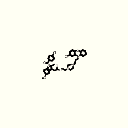 COc1ccc2c(c1)c(CC(=O)OCCN1CCN(CCCN3c4ccccc4Sc4ccc(Cl)cc43)CC1)c(C)n2C(=O)c1ccc(Cl)cc1